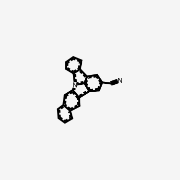 N#Cc1cc2c3ccccc3n3c4cc5ccccc5cc4c(c1)c23